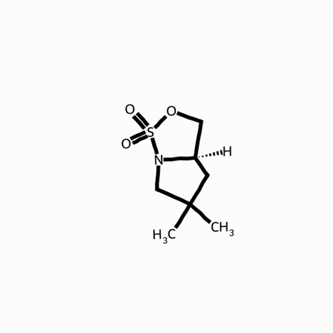 CC1(C)C[C@@H]2COS(=O)(=O)N2C1